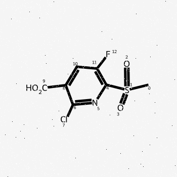 CS(=O)(=O)c1nc(Cl)c(C(=O)O)cc1F